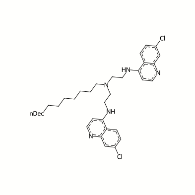 CCCCCCCCCCCCCCCCCN(CCNc1ccnc2cc(Cl)ccc12)CCNc1ccnc2cc(Cl)ccc12